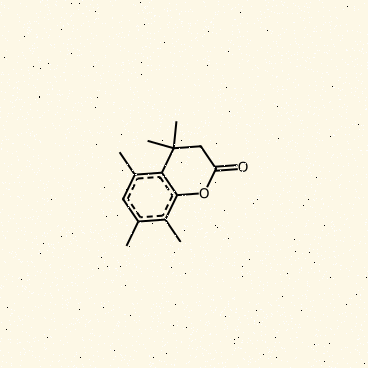 Cc1cc(C)c2c(c1C)OC(=O)CC2(C)C